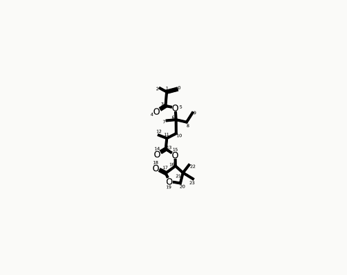 C=C(C)C(=O)OC(C)(CC)CC(C)C(=O)OC1C(=O)OCC1(C)C